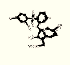 Cc1c(CC(=O)O)c2ccc(C#N)cn2c1Cc1ccccc1S(=O)(=O)c1ccc(Cl)cc1Cl